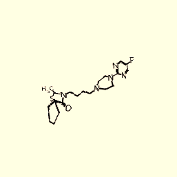 CC1SC2(CCCC2)C(=O)N1CCCCN1CCN(c2ncc(F)cn2)CC1